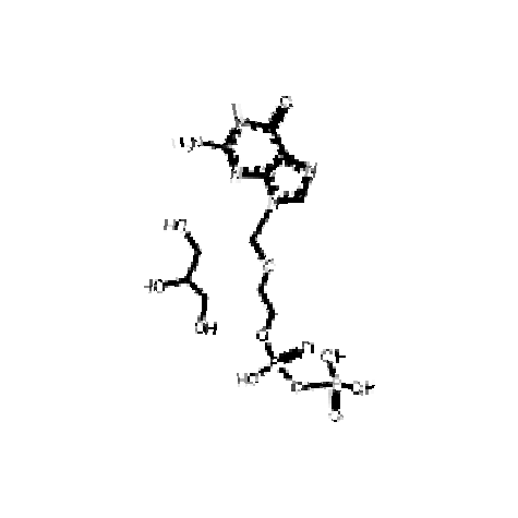 Nc1nc2c(ncn2COCCOP(=O)(O)OP(=O)(O)O)c(=O)[nH]1.OCC(O)CO